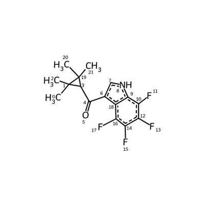 CC1(C)C(C(=O)c2c[nH]c3c(F)c(F)c(F)c(F)c23)C1(C)C